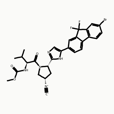 [C-]#[N+][C@H]1C[C@@H](c2ncc(-c3ccc4c(c3)C(F)(F)c3cc(Br)ccc3-4)[nH]2)N(C(=O)[C@@H](NC(=O)OC)C(C)C)C1